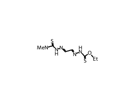 CCOC(=S)N/N=C/C=N/NC(=S)NC